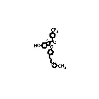 C[C@H]1CCN(CCCc2ccc(Oc3c(C(=O)c4ccc(C(F)(F)F)cc4)sc4cc(O)ccc34)cc2)C1